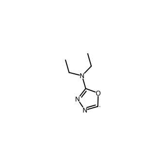 CCN(CC)c1nn[c]o1